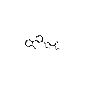 O=C(O)c1cn(-c2cccc(-c3ccccc3Cl)c2)cn1